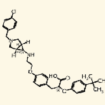 CC(C)(C)c1ccc(O[C@@H](Cc2ccc(OCCN[C@H]3[C@@H]4CN(Cc5ccc(Cl)cc5)C[C@@H]43)cc2)C(=O)O)cc1